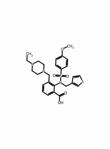 CCN1CCN(Cc2cccc(C(=O)O)c2N(Cc2ccsc2)S(=O)(=O)c2ccc(OC)cc2)CC1